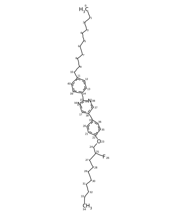 CCCCCCCCCCCc1ccc(-c2ncc(-c3ccc(OCC(F)CCCCCCCC)cc3)cn2)cc1